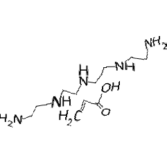 C=CC(=O)O.NCCNCCNCCNCCN